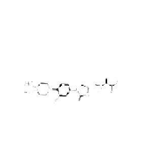 O=C(NC[C@H]1CN(c2ccc(N3C=CS(O)(O)CC3)c(F)c2)C(=O)O1)C(F)F